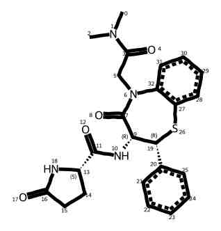 CN(C)C(=O)CN1C(=O)[C@@H](NC(=O)[C@@H]2CCC(=O)N2)[C@@H](c2ccccc2)Sc2ccccc21